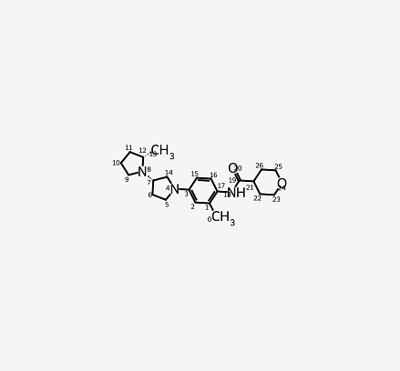 Cc1cc(N2CC[C@H](N3CCC[C@@H]3C)C2)ccc1NC(=O)C1CCOCC1